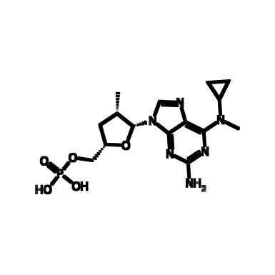 C[C@H]1C[C@@H](COP(=O)(O)O)O[C@H]1n1cnc2c(N(C)C3CC3)nc(N)nc21